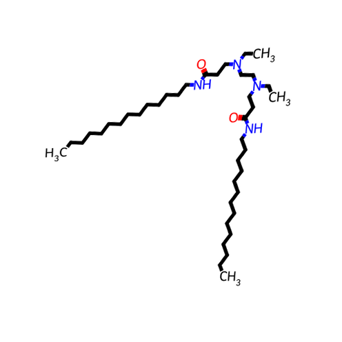 CCCCCCCCCCCCCCNC(=O)CCN(CC)CCN(CC)CCC(=O)NCCCCCCCCCCCCCC